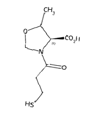 CC1OCN(C(=O)CCS)[C@@H]1C(=O)O